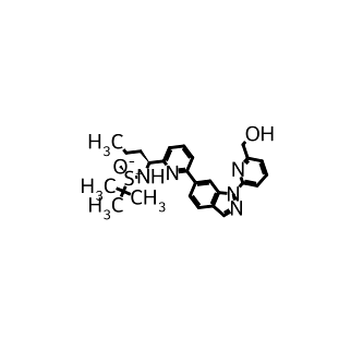 CCC[C@H](N[S@+]([O-])C(C)(C)C)c1cccc(-c2ccc3cnn(-c4cccc(CO)n4)c3c2)n1